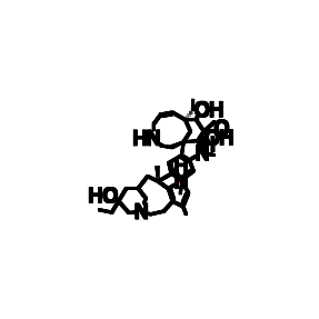 CC[C@]1(O)CC2CN(CCc3c(C)c[nH]c3[C@@](C)(c3cc4c(cc3C)N(C)[C@@H]3[C@]45CCNC/C=C\[C@](CC)(C5)[C@@H](O)[C@]3(O)C=O)C2)C1